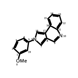 COc1cccc(-n2cc3cnc4ccccc4c3c2)c1